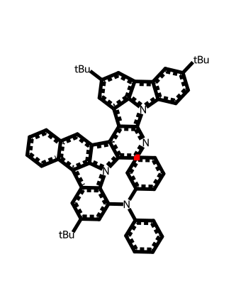 CC(C)(C)c1ccc2c(c1)c1cc(C(C)(C)C)cc3c4c5c6cc7ccccc7c7c8cc(C(C)(C)C)cc(N(c9ccccc9)c9ccccc9)c8n(c5cnc4n2c13)c67